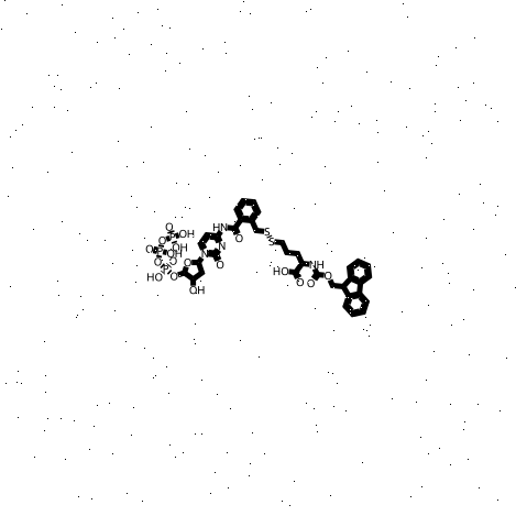 O=C(NC(CCCSSCc1ccccc1C(=O)Nc1ccn(C2CC(O)C(OP(=O)(O)OP(=O)(O)OP(=O)(O)O)O2)c(=O)n1)C(=O)O)OCC1c2ccccc2-c2ccccc21